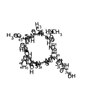 CNC(=O)C[C@@H]1NC(=O)c2csc(n2)-c2ccc(-c3nc(NC(=O)CCCO)cs3)nc2-c2csc(n2)-c2csc(n2)[C@H]([C@@H](O)c2ccccc2)NC(=O)CNC(=O)c2nc(sc2COC)NC(=O)c2nc1sc2C